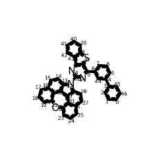 c1ccc(-c2cccc(-c3nc(-n4c5ccc6cccc7oc8cccc9ccc4c(c98)c5c67)nc4c3sc3ccccc34)c2)cc1